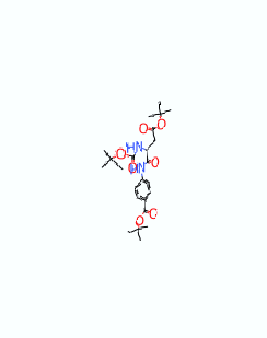 CC(C)(C)OC(=O)C[C@H](NC(=O)OC(C)(C)C)C(=O)Nc1ccc(C(=O)OC(C)(C)C)cc1